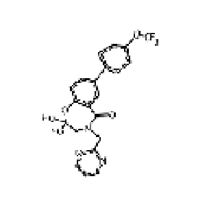 O=C1c2cc(-c3ccc(OC(F)(F)F)cc3)ccc2OC(O)(O)CN1Cc1ncccn1